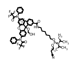 Cc1ccc(C(=O)NCCCCCCOP(OCCC#N)N(C(C)C)C(C)C)cc1C1(OCO)c2ccc(N(C(=O)C(F)(F)F)c3ccccc3)cc2Oc2cc(N(C(=O)C(F)(F)F)c3ccccc3)ccc21